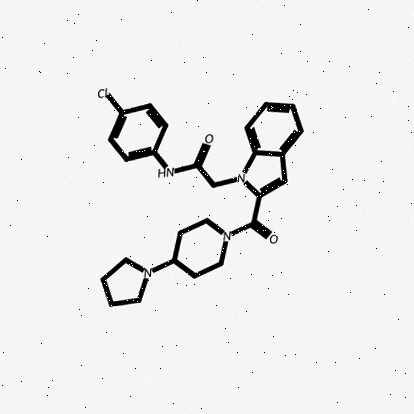 O=C(Cn1c(C(=O)N2CCC(N3CCCC3)CC2)cc2ccccc21)Nc1ccc(Cl)cc1